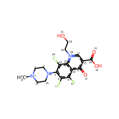 CN1CCN(c2c(F)c(F)c3c(=O)c(C(=O)O)cn(CCO)c3c2F)CC1